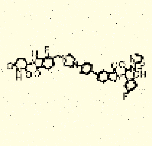 O=C1CCC(N2C(=O)c3ccc(CN4CCN(c5ccc(-c6ccc7c(c6)C(=O)N(C(C(=O)Nc6nccs6)c6cc(F)ccc6O)C7)cc5)CC4)c(F)c3C2=O)C(=O)N1